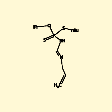 C=CCN=CNP(=S)(OC(C)C)SCCCC